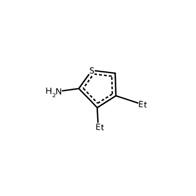 CCc1csc(N)c1CC